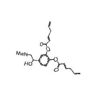 C=CCC=CC(=O)Oc1ccc(C(O)CNC)cc1OC(=O)C=CCC=C